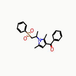 Cc1cc(C(=O)c2ccccc2)c(C)n1C(C)CS(=O)(=O)c1ccccc1